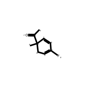 CC(=O)C1(C)C=CC(F)=CC1